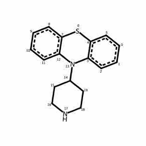 c1ccc2c(c1)Sc1ccccc1N2C1CCNCC1